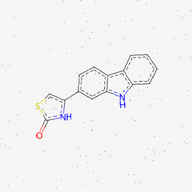 O=c1[nH]c(-c2ccc3c(c2)[nH]c2ccccc23)cs1